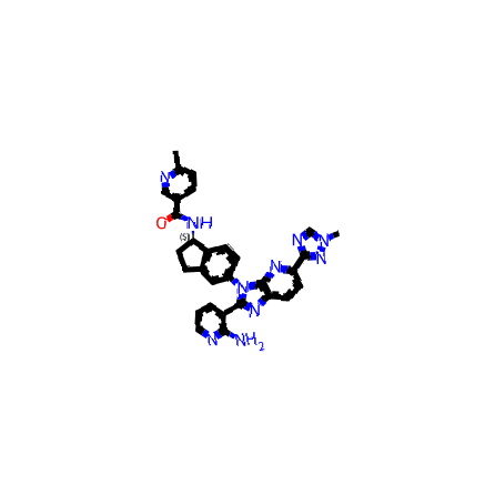 Cc1ccc(C(=O)N[C@H]2CCc3cc(-n4c(-c5cccnc5N)nc5ccc(-c6ncn(C)n6)nc54)ccc32)cn1